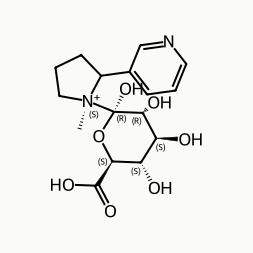 C[N@+]1([C@]2(O)O[C@H](C(=O)O)[C@@H](O)[C@H](O)[C@H]2O)CCCC1c1cccnc1